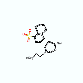 CCCCCCCCCCCCc1ccccc1.O=S(=O)([O-])c1cccc2ccccc12.[Na+]